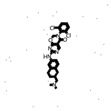 CN(C)CC1CCc2cc(Nc3ncc4c(n3)OCN(c3c(Cl)cccc3Cl)C4=O)ccc2C1